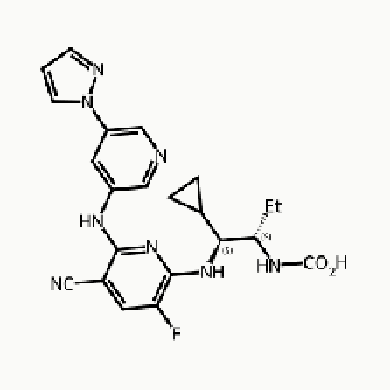 CC[C@H](NC(=O)O)[C@@H](Nc1nc(Nc2cncc(-n3cccn3)c2)c(C#N)cc1F)C1CC1